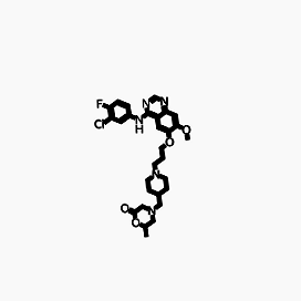 COc1cc2ncnc(Nc3ccc(F)c(Cl)c3)c2cc1OCCCN1CCC(CN2CC(=O)OC(C)C2)CC1